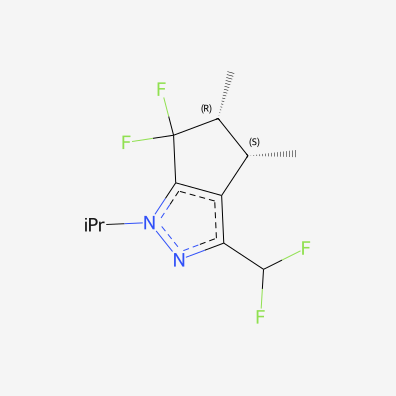 CC(C)n1nc(C(F)F)c2c1C(F)(F)[C@H](C)[C@@H]2C